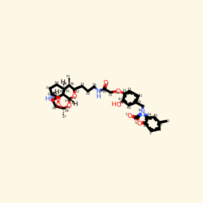 Cc1ccc2oc(=O)n(Cc3ccc(OCC(=O)NCCCC4O[C@@H]5O[C@@]6(C)CC[C@@]78N[C@@H]7CC[C@@H]([C@H]4C)[C@@]58OO6)c(O)c3)c2c1